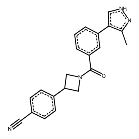 Cc1n[nH]cc1-c1cccc(C(=O)N2CC(c3ccc(C#N)cc3)C2)c1